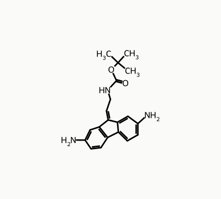 CC(C)(C)OC(=O)NCC=C1c2cc(N)ccc2-c2ccc(N)cc21